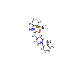 CCc1c(C)cccc1N1CCN(CC(=O)NC2=C(OC(F)(F)F)CCCC2)CC1